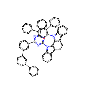 c1ccc(-c2cccc(-c3cccc(-c4nc(-c5ccccc5)nc(-n5c6ccccc6c6ccc7c8ccccc8n(-c8ccc(-c9ccccc9)cc8-c8ccccc8)c7c65)n4)c3)c2)cc1